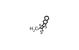 C=Cc1sc2c(sc3cc4ccccc4cc32)c1C=S